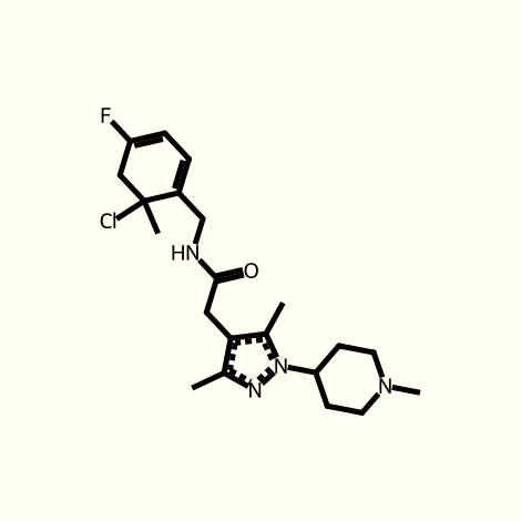 Cc1nn(C2CCN(C)CC2)c(C)c1CC(=O)NCC1=CC=C(F)CC1(C)Cl